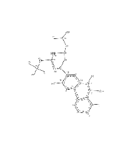 Cc1nccc2c1c(=O)n(C)c1cc(OCC(CC(C)C)NC(=O)OC(C)(C)C)c(F)cc21